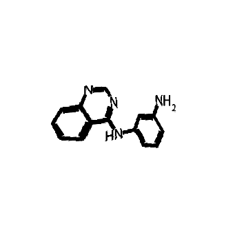 Nc1cccc(Nc2ncnc3ccccc23)c1